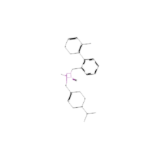 C=P(C)(CC1=CCC(C(C)C)CC1)Cc1ccccc1C1=C(C)C=CCC1